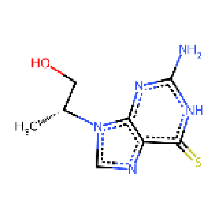 C[C@H](CO)n1cnc2c(=S)[nH]c(N)nc21